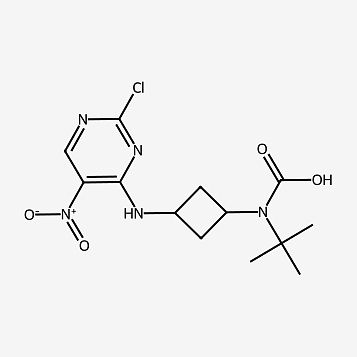 CC(C)(C)N(C(=O)O)C1CC(Nc2nc(Cl)ncc2[N+](=O)[O-])C1